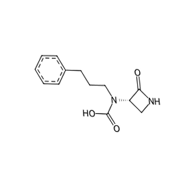 O=C1NC[C@@H]1N(CCCc1ccccc1)C(=O)O